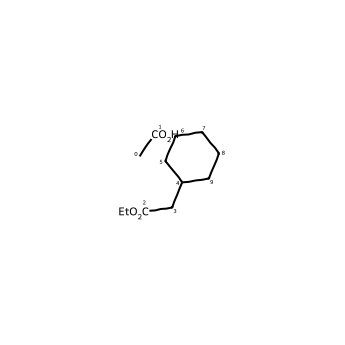 CC(=O)O.CCOC(=O)CC1CCCCC1